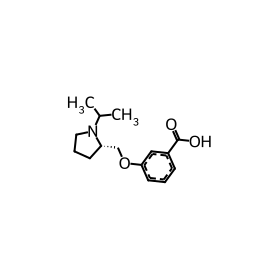 CC(C)N1CCC[C@H]1COc1cccc(C(=O)O)c1